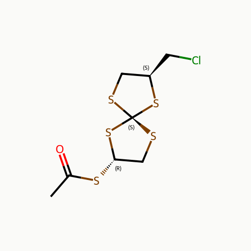 CC(=O)S[C@H]1CS[C@]2(SC[C@@H](CCl)S2)S1